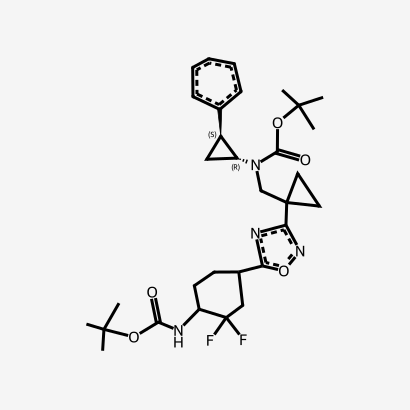 CC(C)(C)OC(=O)NC1CCC(c2nc(C3(CN(C(=O)OC(C)(C)C)[C@@H]4C[C@H]4c4ccccc4)CC3)no2)CC1(F)F